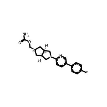 NC(=O)OC[C@@H]1C[C@@H]2CN(c3ccc(-c4ccc(F)cc4)cn3)C[C@@H]2C1